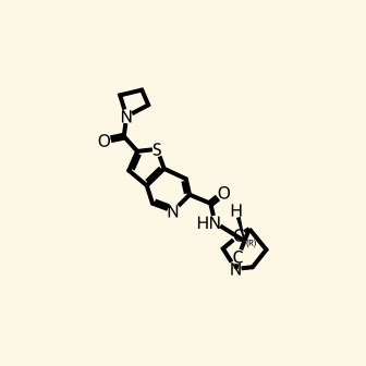 O=C(N[C@H]1CN2CCC1CC2)c1cc2sc(C(=O)N3CCC3)cc2cn1